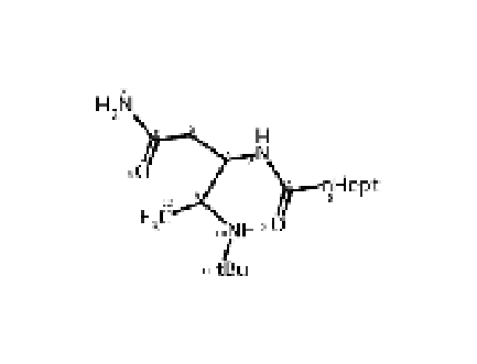 CCCCCCCC(=O)NC(CC(N)=O)C(NC(C)(C)C)C(F)(F)F